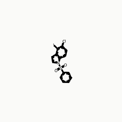 O=S(=O)(c1ccccc1)n1ccc2c(I)c(Cl)ccc21